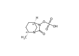 C[C@@H]1CC[C@@H]2CN1C(=O)N2OS(=O)(=O)O